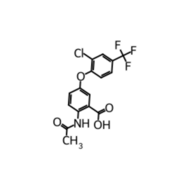 CC(=O)Nc1ccc(Oc2ccc(C(F)(F)F)cc2Cl)cc1C(=O)O